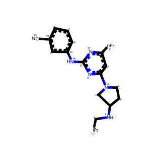 CCCc1cc(N2CCC(NCC(C)C)C2)nc(Nc2cccc(C#N)c2)n1